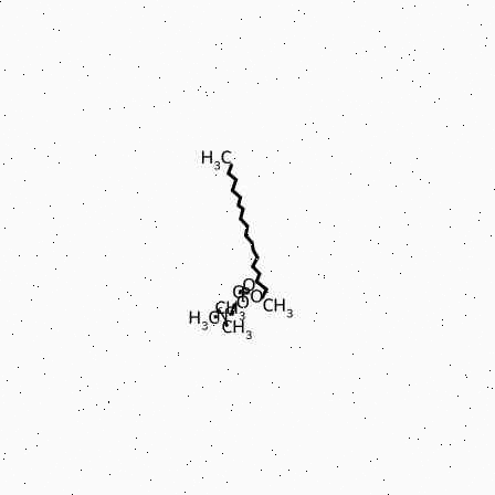 CCCCCCCCCCCCCCCCC(CCC)OP(=O)([O-])OCC[N+](C)(C)C